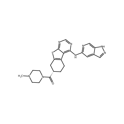 CN1CCN(C(=O)[C@H]2CCc3c(sc4ncnc(Nc5cc6cn[nH]c6cn5)c34)C2)CC1